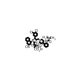 COc1c(C#N)cc2ccccc2c1N(C[C@@H](CCN1CCC(c2ccccc2NC(=O)N(C)C)CC1)c1ccc(Cl)c(Cl)c1)C(=O)CC(O)(CC(=O)O)C(=O)O